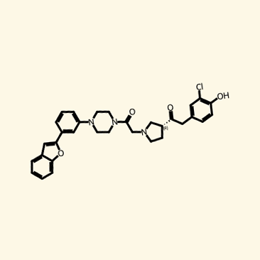 O=C(Cc1ccc(O)c(Cl)c1)[C@@H]1CCN(CC(=O)N2CCN(c3cccc(-c4cc5ccccc5o4)c3)CC2)C1